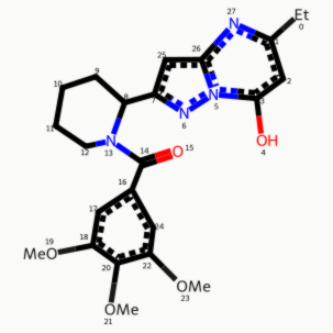 CCc1cc(O)n2nc(C3CCCCN3C(=O)c3cc(OC)c(OC)c(OC)c3)cc2n1